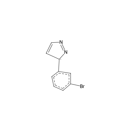 Brc1cccc([C]2C=CN=N2)c1